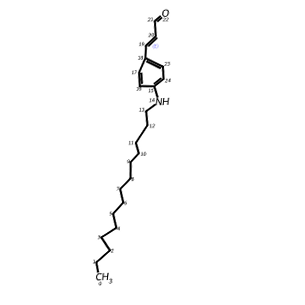 CCCCCCCCCCCCCCNc1ccc(/C=C/C=O)cc1